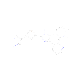 Cn1cc(-c2csc(-c3nc4c5cccnc5c5ncccc5c4[nH]3)c2)cn1